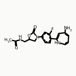 CC(=O)NCC1CN(c2ccc(C3=CC(N)=CC=CN3)c(F)c2)C(=O)O1